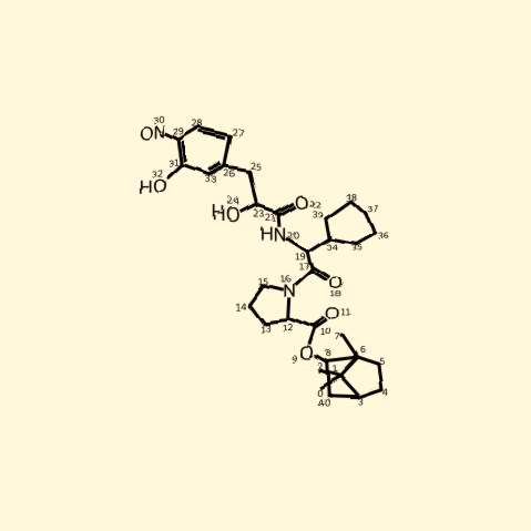 CC1(C)C2CCC1(C)C(OC(=O)C1CCCN1C(=O)C(NC(=O)C(O)Cc1ccc(N=O)c(O)c1)C1CCCCC1)C2